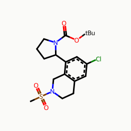 CC(C)(C)OC(=O)N1CCCC1c1cc(Cl)cc2c1CN(S(C)(=O)=O)CC2